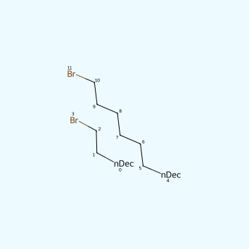 CCCCCCCCCCCCBr.CCCCCCCCCCCCCCCCBr